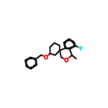 CC1OCC2(CCCC(OCc3ccccc3)C2)c2cccc(F)c21